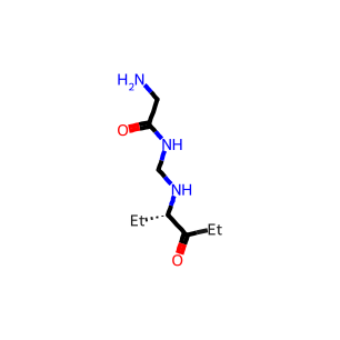 CCC(=O)[C@H](CC)NCNC(=O)CN